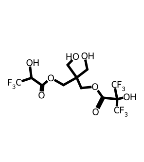 O=C(OCC(CO)(CO)COC(=O)C(O)(C(F)(F)F)C(F)(F)F)C(O)C(F)(F)F